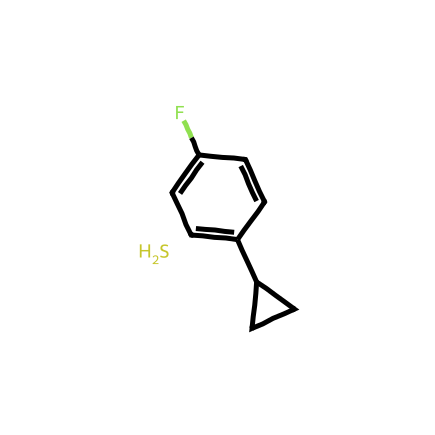 Fc1ccc(C2CC2)cc1.S